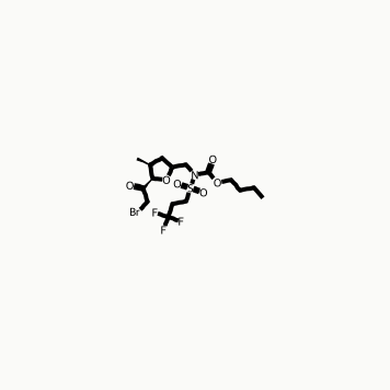 CCCCOC(=O)N(CC1C[C@H](C)[C@H](C(=O)CBr)O1)S(=O)(=O)CCC(F)(F)F